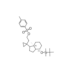 Cc1ccc(S(=O)(=O)OCCC2(C3CCC4[C@@H](O[Si](C)(C)C(C)(C)C)CCC[C@@]43C)CC2)cc1